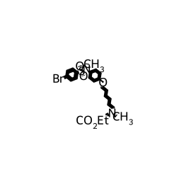 CCOC(=O)CN(C)CCCCCCO[C@H]1CC[C@H](N(C)S(=O)(=O)c2ccc(Br)cc2)CC1